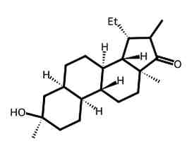 CC[C@@H]1C(C)C(=O)[C@@]2(C)CC[C@H]3[C@@H](CC[C@@H]4C[C@](C)(O)CC[C@@H]43)[C@H]12